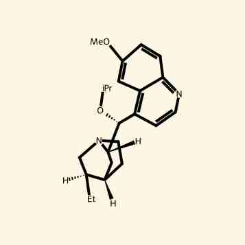 CC[C@H]1CN2CC[C@H]1C[C@H]2[C@H](OC(C)C)c1ccnc2ccc(OC)cc12